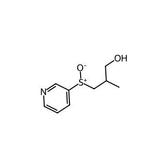 CC(CO)C[S+]([O-])c1cccnc1